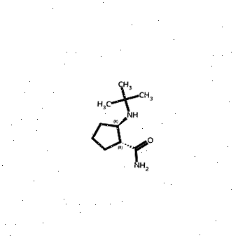 CC(C)(C)N[C@@H]1CCC[C@H]1C(N)=O